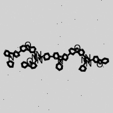 c1ccc(-c2nc(-c3ccc4c(c3)oc3ccccc34)nc(-c3ccc4oc5ccc(-c6ccc7c(c6)c6ccc(-c8ccc(-c9nc(-c%10ccc%11oc%12ccc(-c%13ccc%14c(c%13)c%13ccccc%13n%14-c%13ccccc%13)cc%12c%11c%10)nc(-c%10cccc%11c%10oc%10ccccc%10%11)n9)cc8)cc6n7-c6ccccc6)cc5c4c3)n2)cc1